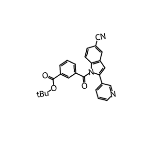 CC(C)(C)OC(=O)c1cccc(C(=O)n2c(-c3cccnc3)cc3cc(C#N)ccc32)c1